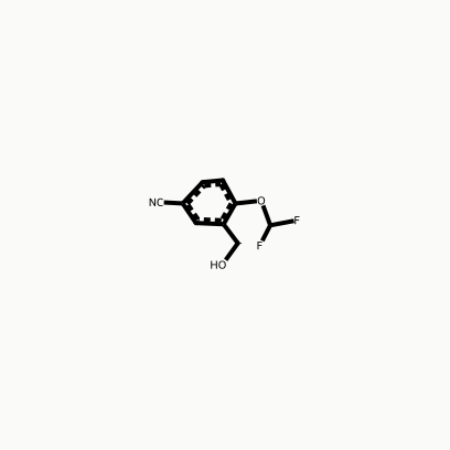 N#Cc1ccc(OC(F)F)c([CH]O)c1